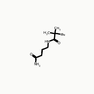 CC(C)(C)C(C)(C)C(=O)NCCCC(N)=O